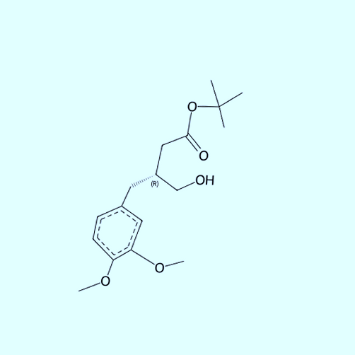 COc1ccc(C[C@@H](CO)CC(=O)OC(C)(C)C)cc1OC